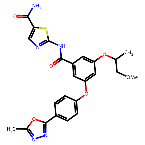 COCC(C)Oc1cc(Oc2ccc(-c3nnc(C)o3)cc2)cc(C(=O)Nc2ncc(C(N)=O)s2)c1